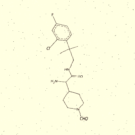 CC(C)(CNC(=O)C(N)C1CCN(C=O)CC1)c1ccc(F)cc1Cl